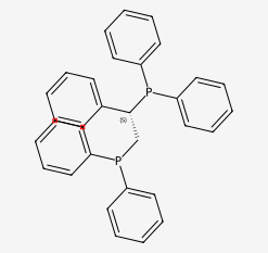 c1ccc([C@@H](CP(c2ccccc2)c2ccccc2)P(c2ccccc2)c2ccccc2)cc1